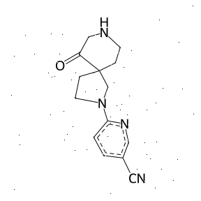 N#Cc1ccc(N2CCC3(CCNCC3=O)C2)nc1